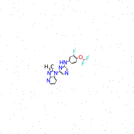 Cc1nc2ncccc2n1-c1cncc(Nc2ccc(OC(F)F)c(F)c2)n1